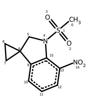 CS(=O)(=O)N1CC2(CC2)c2cccc([N+](=O)[O-])c21